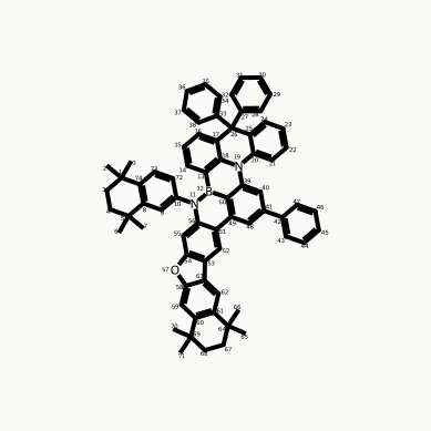 CC1(C)CCC(C)(C)c2cc(N3B4c5cccc6c5N(c5ccccc5C6(c5ccccc5)c5ccccc5)c5cc(-c6ccccc6)cc(c54)-c4cc5c(cc43)oc3cc4c(cc35)C(C)(C)CCC4(C)C)ccc21